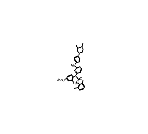 COc1ccc(N(C(=O)Oc2c(C)cccc2C)c2ccnc(Nc3ccc(N4CCN(C)C(C)C4)cc3)n2)c(OC)c1